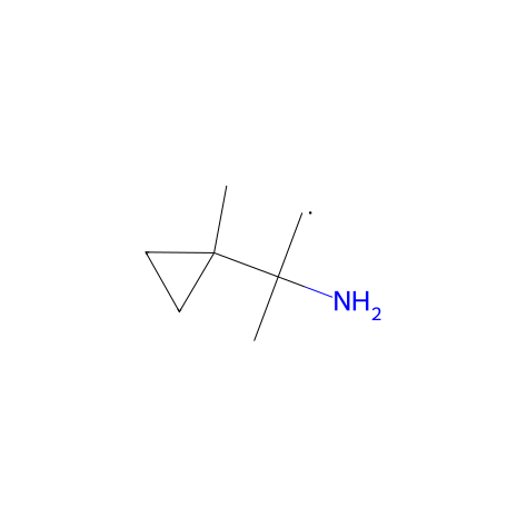 [CH2]C(C)(N)C1(C)CC1